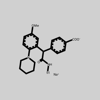 CCNC(=O)C(c1ccc(C(=O)[O-])cc1)c1cc(OC)ccc1N1CCCCC1.[Na+]